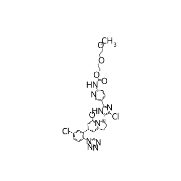 COCCOCCOC(=O)Nc1ccc(-c2nc(Cl)c([C@@H]3CCc4cc(-c5cc(Cl)ccc5-n5cnnn5)cc(=O)n43)[nH]2)cn1